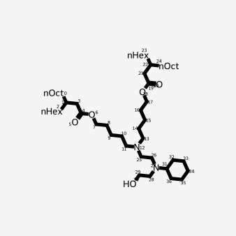 CCCCCCCCC(CCCCCC)CC(=O)OCCCCCN(CCCCCOC(=O)CC(CCCCCC)CCCCCCCC)CCN(CCO)C1CCCCC1